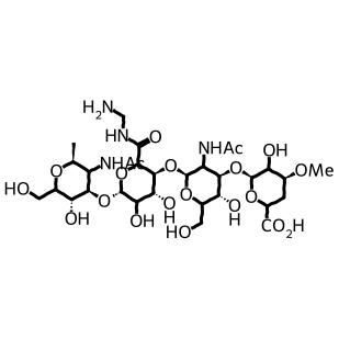 CO[C@H]1CC(C(=O)O)O[C@@H](O[C@@H]2C(NC(C)=O)[C@H](O[C@@H]3C(C(=O)NCN)O[C@@H](O[C@@H]4C(NC(C)=O)[C@H](C)OC(CO)[C@H]4O)C(O)[C@H]3O)OC(CO)[C@H]2O)C1O